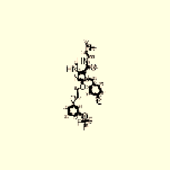 CNc1nc(OCCOc2cccc(OC(F)(F)F)c2)n(Cc2ccc(Cl)cc2)c1C(=O)NCCN(C)C